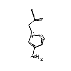 C=C(C)Cn1cc([AsH2])cn1